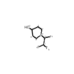 OC1CCN(C(F)C(F)F)CC1